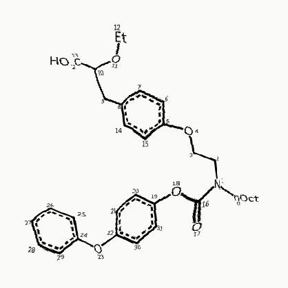 CCCCCCCCN(CCOc1ccc(CC(OCC)C(=O)O)cc1)C(=O)Oc1ccc(Oc2ccccc2)cc1